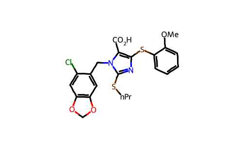 CCCSc1nc(Sc2ccccc2OC)c(C(=O)O)n1Cc1cc2c(cc1Cl)OCO2